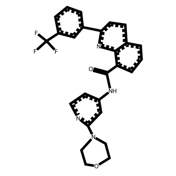 O=C(Nc1ccnc(N2CCOCC2)c1)c1cccc2ccc(-c3cccc(C(F)(F)F)c3)nc12